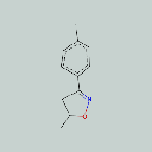 Cc1ccc(C2=NOC(C)C2)cc1